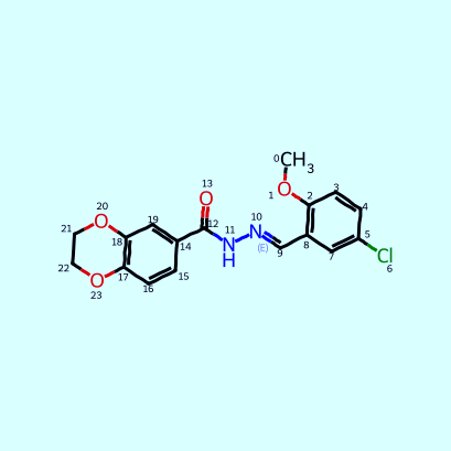 COc1ccc(Cl)cc1/C=N/NC(=O)c1ccc2c(c1)OCCO2